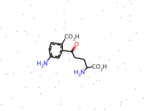 Nc1ccc(C(=O)O)c(C(=O)CCC(N)C(=O)O)c1